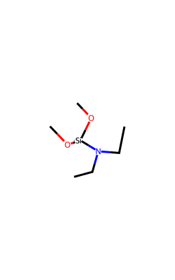 CCN(CC)[Si](OC)OC